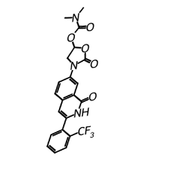 CN(C)C(=O)OC1CN(c2ccc3cc(-c4ccccc4C(F)(F)F)[nH]c(=O)c3c2)C(=O)O1